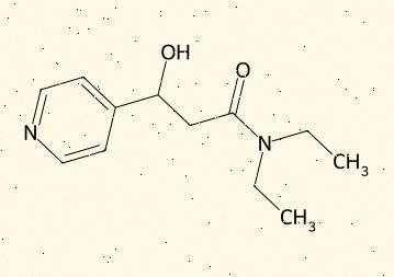 CCN(CC)C(=O)CC(O)c1ccncc1